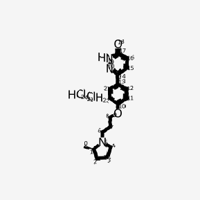 C[C@@H]1CCCN1CCCOc1ccc(-c2ccc(=O)[nH]n2)cc1.Cl.Cl